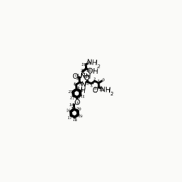 CC(C[CH]C(=O)NC(Cc1ccc(OCc2ccccc2)cc1)C(=O)NCC(O)CN)C(N)=O